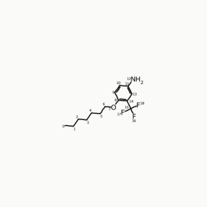 CCCCCCCOc1ccc(N)cc1C(F)(F)F